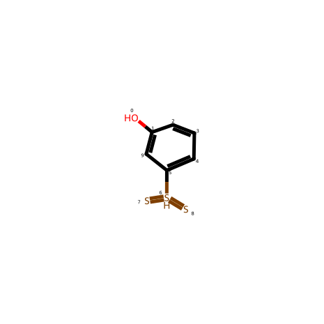 Oc1cccc([SH](=S)=S)c1